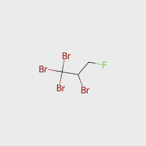 FCC(Br)C(Br)(Br)Br